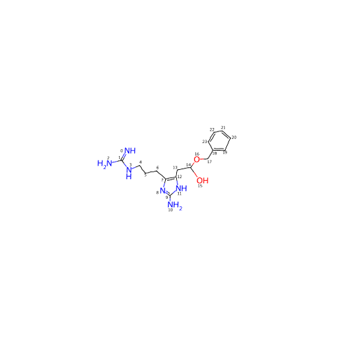 N=C(N)NCCCc1nc(N)[nH]c1CC(O)OCc1ccccc1